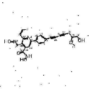 C/C=C\c1nc(-c2ccc(C#CC#CCC(CO)OC)cc2)cc(C(=O)NO)c1/C=N/O